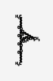 CCCCCCCCCC(=O)O/C(=C\OC(=O)CCCCCCCC)COC(=O)CCN(CCC(=O)OCCCOC(=O)CCCCCCCC)C(=O)SCCCN(C)C